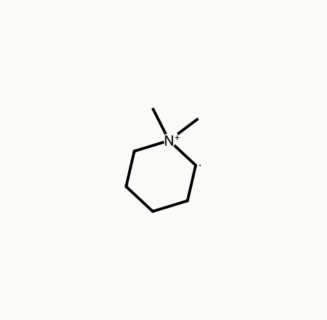 C[N+]1(C)[CH]CCCC1